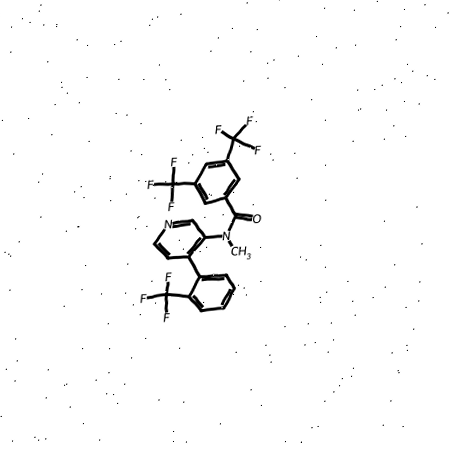 CN(C(=O)c1cc(C(F)(F)F)cc(C(F)(F)F)c1)c1cnccc1-c1ccccc1C(F)(F)F